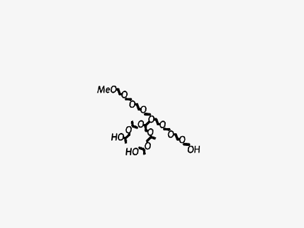 CC(O)COC(C)COC(C)COC(C)COC(C)CO.COCCOCCOCCOCCOCCOCCOCCOCCO